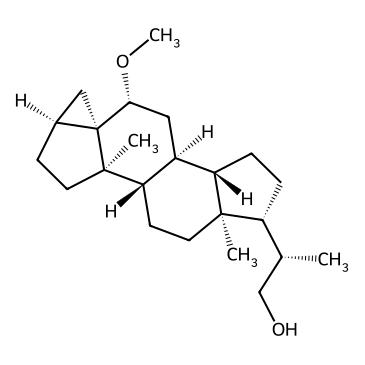 CO[C@@H]1C[C@H]2[C@@H]3CC[C@H]([C@H](C)CO)[C@@]3(C)CC[C@@H]2[C@@]2(C)CC[C@H]3C[C@]312